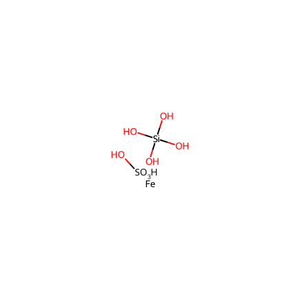 O=S(=O)(O)O.O[Si](O)(O)O.[Fe]